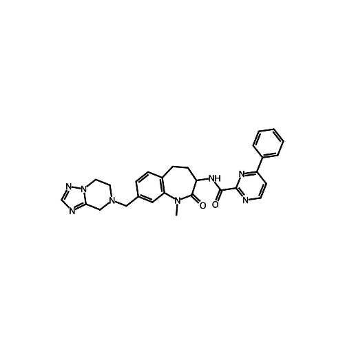 CN1C(=O)C(NC(=O)c2nccc(-c3ccccc3)n2)CCc2ccc(CN3CCn4ncnc4C3)cc21